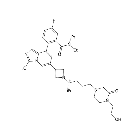 CCN(C(=O)c1cc(F)ccc1-c1cc(C2CN([C@H](CCCN3CCN(CCO)C(=O)C3)C(C)C)C2)cn2c(C)ncc12)C(C)C